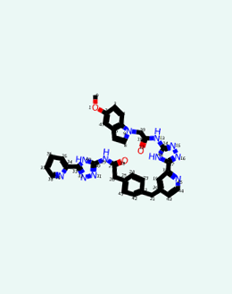 COc1ccc2c(ccn2CC(=O)Nc2nnc(-c3cc(Cc4ccc(CC(=O)Nc5nnc(-c6ccccn6)[nH]5)cc4)ccn3)[nH]2)c1